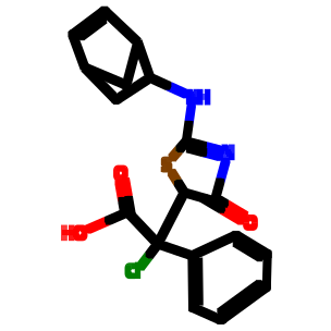 O=C1N=C(NC2CC3C=CC2C3)SC1C(Cl)(C(=O)O)c1ccccc1